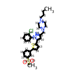 CCCCN1CCN(Cc2cc(-c3ccc(-c4cccc(S(C)(=O)=O)c4)s3)n(-c3ccccc3Cl)n2)CC1